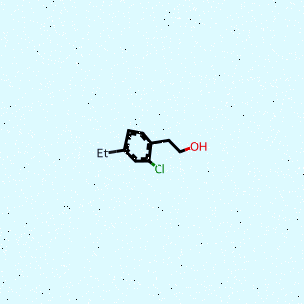 CCc1ccc(CCO)c(Cl)c1